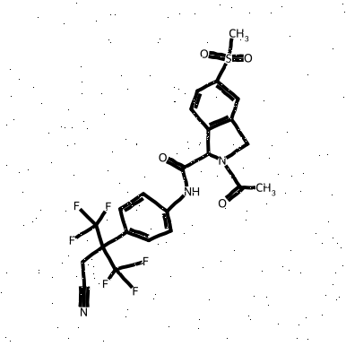 CC(=O)N1Cc2cc(S(C)(=O)=O)ccc2C1C(=O)Nc1ccc(C(CC#N)(C(F)(F)F)C(F)(F)F)cc1